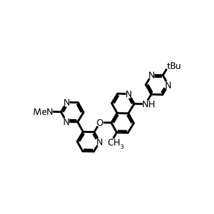 CNc1nccc(-c2cccnc2Oc2c(C)ccc3c(Nc4cnc(C(C)(C)C)nc4)nccc23)n1